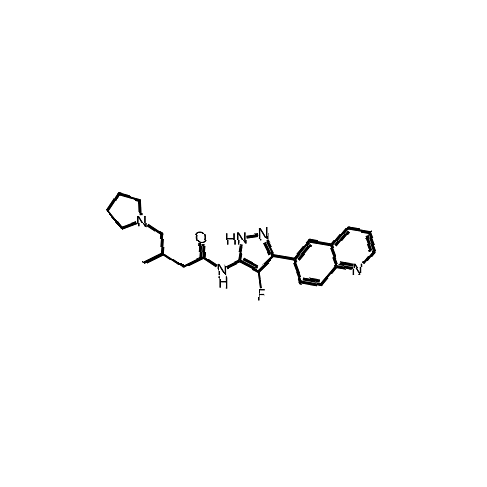 CC(CC(=O)Nc1[nH]nc(-c2ccc3ncccc3c2)c1F)CN1CCCC1